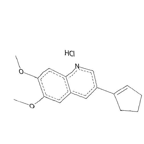 COc1cc2cc(C3=CCCC3)cnc2cc1OC.Cl